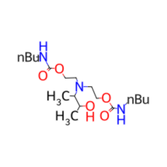 CCCCNC(=O)OCCN(CCOC(=O)NCCCC)C(C)C(C)O